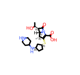 CC(O)[C@H]1C(=O)N2C(C(=O)O)=C(S[C@@H]3CC[C@@H](NC4CCNCC4)C3)[C@H](C)[C@H]12